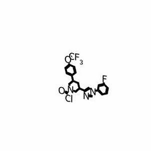 O=C(Cl)N1CC(c2ccc(OC(F)(F)F)cc2)CC(c2cn(-c3cccc(F)c3)cn2)C1